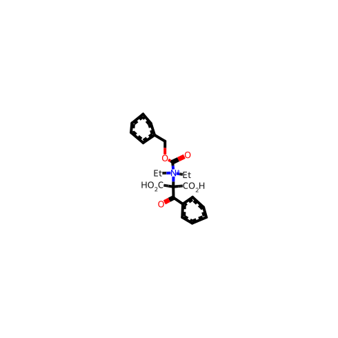 CC[N+](CC)(C(=O)OCc1ccccc1)C(C(=O)O)(C(=O)O)C(=O)c1ccccc1